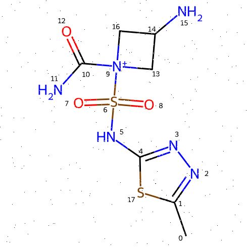 Cc1nnc(NS(=O)(=O)[N+]2(C(N)=O)CC(N)C2)s1